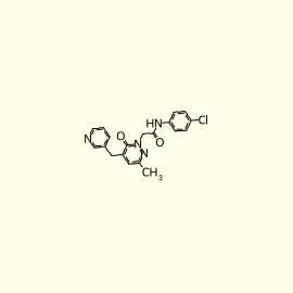 Cc1cc(Cc2cccnc2)c(=O)n(CC(=O)Nc2ccc(Cl)cc2)n1